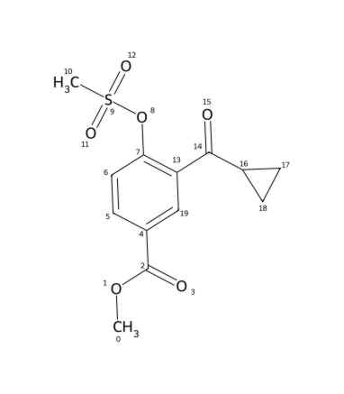 COC(=O)c1ccc(OS(C)(=O)=O)c(C(=O)C2CC2)c1